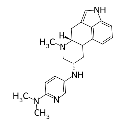 CN(C)c1ccc(N[C@H]2CC3c4cccc5[nH]cc(c45)C[C@H]3N(C)C2)cn1